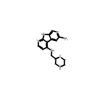 Nc1cc2c(cn1)[nH]c1nccc(NCC3CNCCO3)c12